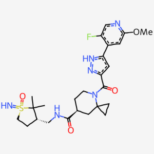 COc1cc(-c2cc(C(=O)N3CC[C@H](C(=O)NC[C@@H]4CC[S@@](=N)(=O)C4(C)C)CC34CC4)n[nH]2)c(F)cn1